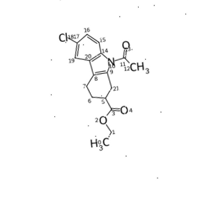 CCOC(=O)C1CCc2c(n(C(C)=O)c3ccc(Cl)cc23)C1